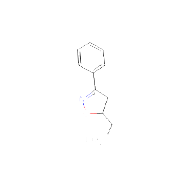 O=C(O)CC1CC(c2ccccc2)=NO1